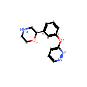 c1cc(Oc2cccnn2)cc([C@@H]2CNCCO2)c1